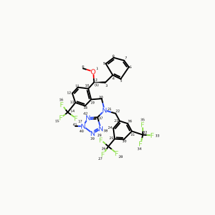 CO[C@@H](Cc1ccccc1)c1ccc(C(F)(F)F)cc1CN(Cc1cc(C(F)(F)F)cc(C(F)(F)F)c1)c1nnn(C)n1